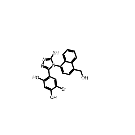 CCc1cc(-c2nnc(S)n2-c2ccc(CO)c3ccccc23)c(O)cc1O